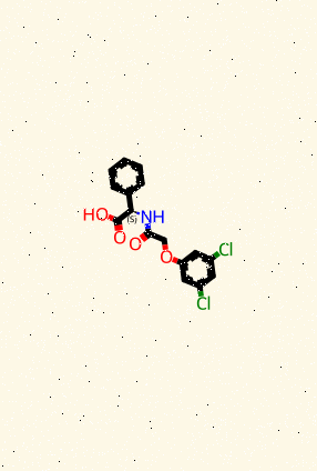 O=C(COc1cc(Cl)cc(Cl)c1)N[C@H](C(=O)O)c1ccccc1